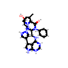 Cc1ccn2nc([C@H](C)Nc3ncnc4[nH]cc(-c5cnn(CCCO)c5)c34)n(-c3ccccc3)c(=O)c12